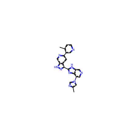 Cc1cn(-c2cncc3[nH]c(-c4n[nH]c5cnc(-c6cnccc6C)cc45)nc23)cn1